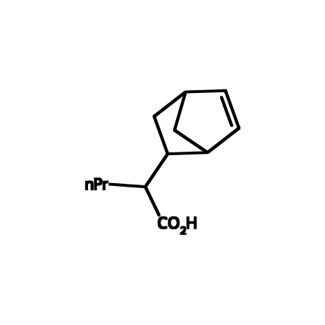 CCCC(C(=O)O)C1CC2C=CC1C2